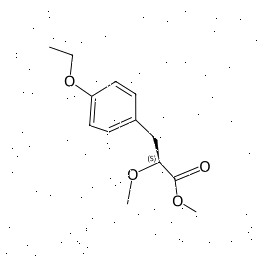 CCOc1ccc(C[C@H](OC)C(=O)OC)cc1